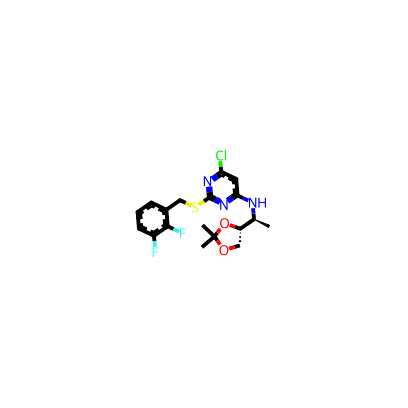 C[C@H](Nc1cc(Cl)nc(SCc2cccc(F)c2F)n1)[C@@H]1COC(C)(C)O1